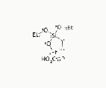 C=C[Si](OCC)(OCC)OCC.CC(=O)O